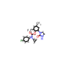 O=C1NCCN1c1cc(C(F)(F)F)cc(C(F)(F)F)c1OC(=O)N(c1ccc(F)cc1)C1CC1